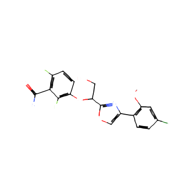 COc1cc(Cl)ccc1-c1coc(C(CO)Oc2ccc(F)c(C(N)=O)c2F)n1